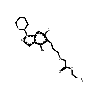 CCOC(=O)COCCCc1c(Cl)cc2c(cnn2C2CCCCO2)c1Br